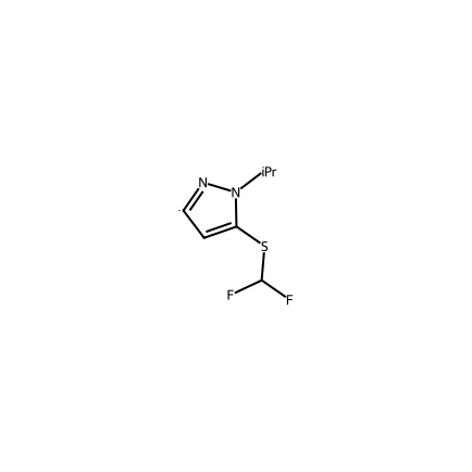 CC(C)n1n[c]cc1SC(F)F